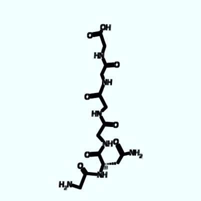 NCC(=O)N[C@@H](CC(N)=O)C(=O)NCC(=O)NCC(=O)NCC(=O)NCC(=O)O